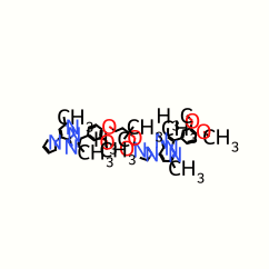 COc1ccc(-c2c(C)nc3c(N4CCN(C(=O)OC(C)(C)CCOc5ccc(-c6c(C)nc7c(N8CC=CC8)cc(C)nn67)cc5OC)C4)cc(C)nn23)cc1OC